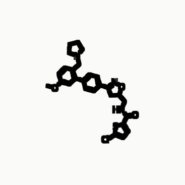 COc1ccc(CN2CCCC2)c(-c2ccc(C3=NOC(CNC(=O)c4ccc(Cl)s4)C3)cc2)c1